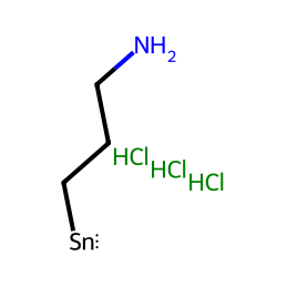 Cl.Cl.Cl.NCC[CH2][Sn]